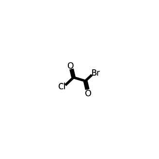 O=C(Cl)C(=O)Br